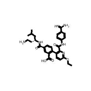 CCOc1ccc(-c2ccc(C(=O)N[C@H](CCN)CC(C)C)cc2C(=O)O)c(C(=O)Nc2ccc(C(=N)N)cc2)n1